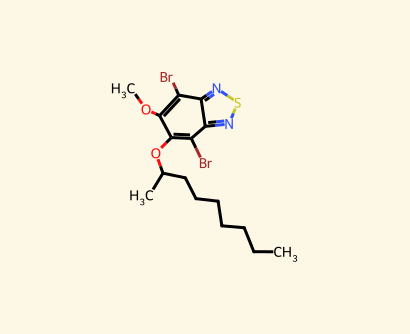 CCCCCCCC(C)Oc1c(OC)c(Br)c2nsnc2c1Br